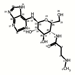 CNCCC(=O)N[C@@H]1[C@@H](O)[C@H](O)[C@@H](Nc2ncnc3nc[nH]c23)O[C@H]1CO